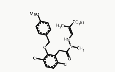 CCOC(=O)C(C)=CNN(C)C(=O)Cc1c(Cl)ccc(Cl)c1OCc1ccc(OC)cc1